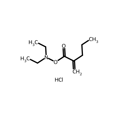 C=C(CCC)C(=O)ON(CC)CC.Cl